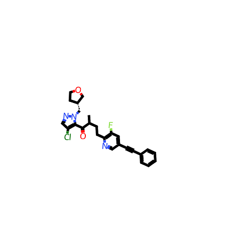 CC(CCc1ncc(C#Cc2ccccc2)cc1F)C(=O)c1c(Cl)cnn1C[C@@H]1CCOC1